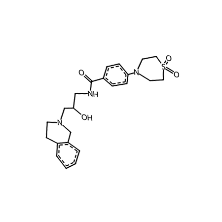 O=C(NCC(O)CN1CCc2ccccc2C1)c1ccc(N2CCS(=O)(=O)CC2)cc1